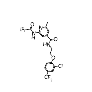 Cc1cc(C(=O)NCCOc2ccc(C(F)(F)F)cc2Cl)cc(NC(=O)C(C)C)n1